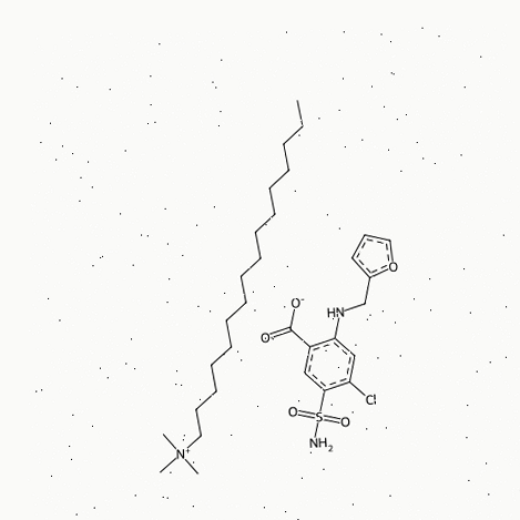 CCCCCCCCCCCCCCCC[N+](C)(C)C.NS(=O)(=O)c1cc(C(=O)[O-])c(NCc2ccco2)cc1Cl